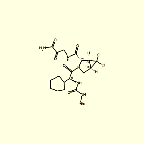 CC(C)(C)NC(=O)N[C@H](C(=O)N1C[C@H]2[C@@H]([C@H]1C(=O)NCC(=O)C(N)=O)C2(Cl)Cl)C1CCCCC1